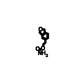 NC(=O)OCCc1ccc2c(c1)COC2